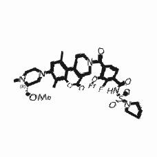 CCOc1c(C(=O)N2CCc3c(c(=O)oc4c(C)c(N5CCN(C)[C@@H](COC)C5)cc(C)c34)C2)ccc(C(=O)NS(=O)(=O)N2CCCC2)c1F